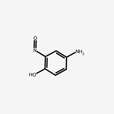 Nc1ccc(O)c(N=O)c1